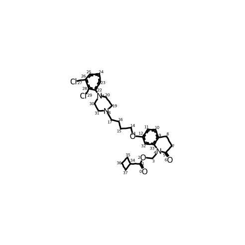 O=C(OCN1C(=O)CCc2ccc(OCCCCN3CCN(c4cccc(Cl)c4Cl)CC3)cc21)C1CCC1